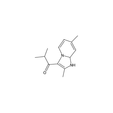 CC1=CC2NC(C)=C(C(=O)C(C)C)N2C=C1